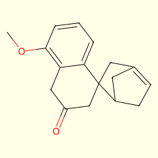 COc1cccc2c1CC(=O)CC21CC2=CCC1C2